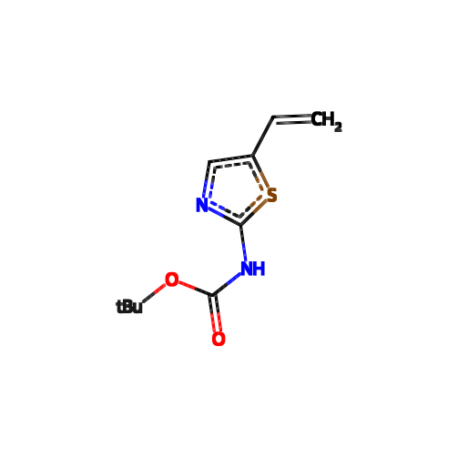 C=Cc1cnc(NC(=O)OC(C)(C)C)s1